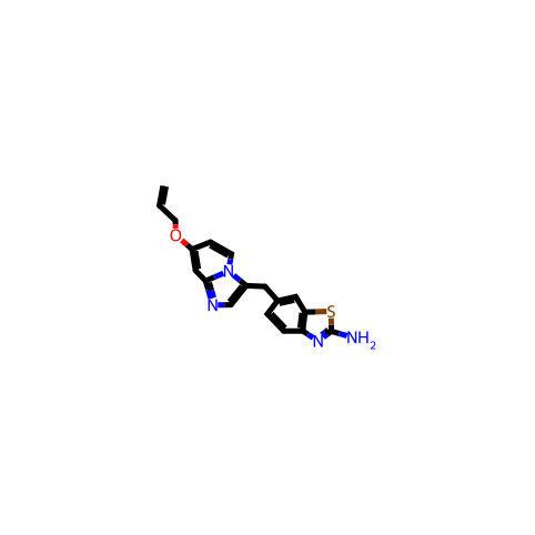 C=CCOc1ccn2c(Cc3ccc4nc(N)sc4c3)cnc2c1